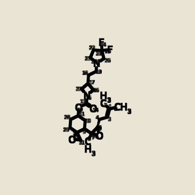 CC(C)=CC[C@H]1O[C@]1(C)C1CC(OC(=O)N2CC(CCN3CCC(F)(F)C3)C2)CCC12CO2